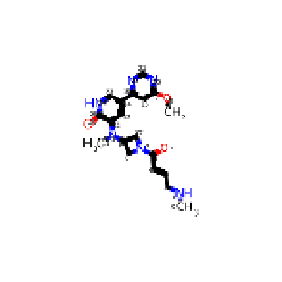 CNCC=CC(=O)N1CC(N(C)c2cc(-c3cc(OC)ncn3)c[nH]c2=O)C1